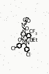 CCOc1cc(C(F)(F)F)ccc1C1=NC(c2ccc(Cl)cc2)C(c2ccc(Cl)cc2)N1C(=O)N1CCN(C(=O)CN(C)CC2OCCO2)CC1